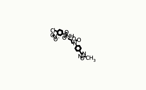 Cc1nc(-c2ccc(N3CC(CNS(=O)(=O)c4ccc(Cl)c([N+](=O)[O-])c4)OC3=O)cc2)no1